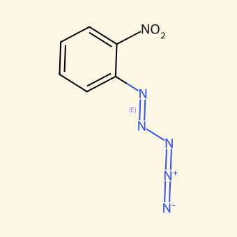 [N-]=[N+]=N/N=N/c1ccccc1[N+](=O)[O-]